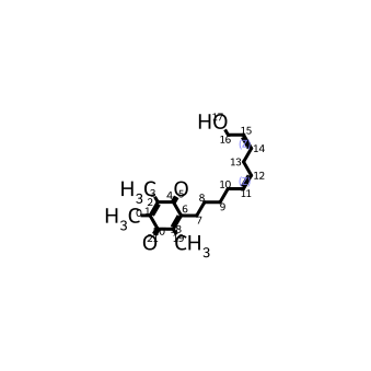 CC1=C(C)C(=O)C(CCCC/C=C\C/C=C\CO)=C(C)C1=O